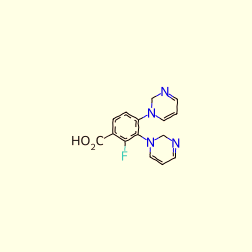 O=C(O)c1ccc(N2C=CC=NC2)c(N2C=CC=NC2)c1F